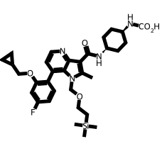 Cc1c(C(=O)N[C@H]2CC[C@H](NC(=O)O)CC2)c2nccc(-c3ccc(F)cc3OCC3CC3)c2n1COCC[Si](C)(C)C